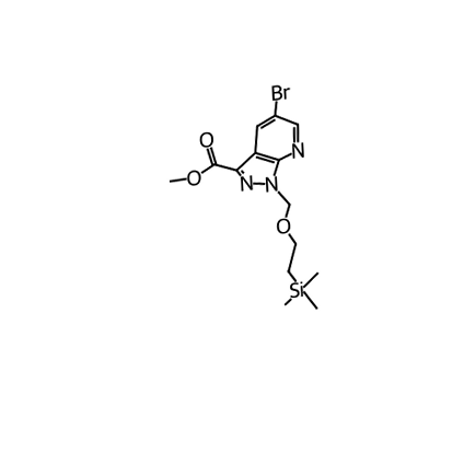 COC(=O)c1nn(COCC[Si](C)(C)C)c2ncc(Br)cc12